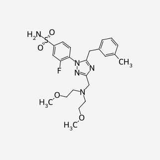 COCCN(CCOC)Cc1nc(Cc2cccc(C)c2)n(-c2ccc(S(N)(=O)=O)cc2F)n1